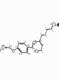 CCCCCC1CCOC(c2ccc(OCC)cc2)O1